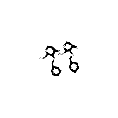 O=Cc1occc(=O)c1OCc1ccccc1.O=Cc1occc(=O)c1OCc1ccccc1